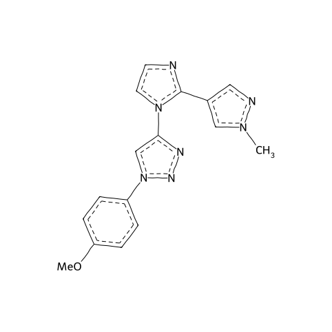 COc1ccc(-n2cc(-n3ccnc3-c3cnn(C)c3)nn2)cc1